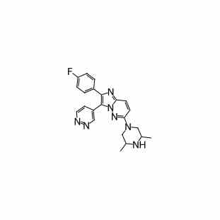 CC1CN(c2ccc3nc(-c4ccc(F)cc4)c(-c4ccnnc4)n3n2)CC(C)N1